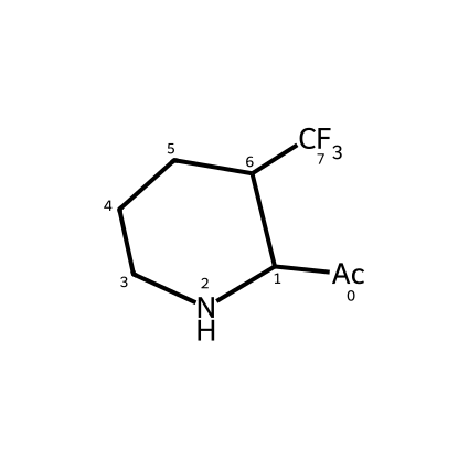 CC(=O)C1NCCCC1C(F)(F)F